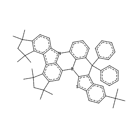 CC(C)(C)c1ccc2sc3c(c2c1)C(c1ccccc1)(c1ccccc1)c1cccc2c1B3c1cc3c(c4c5c6c(ccc5n-2c14)C(C)(C)CC6(C)C)C(C)(C)CC3(C)C